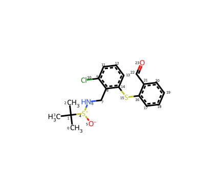 CC(C)(C)[S+]([O-])NCc1c(Cl)cccc1Sc1ccccc1C=O